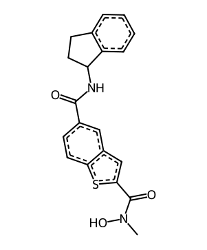 CN(O)C(=O)c1cc2cc(C(=O)NC3CCc4ccccc43)ccc2s1